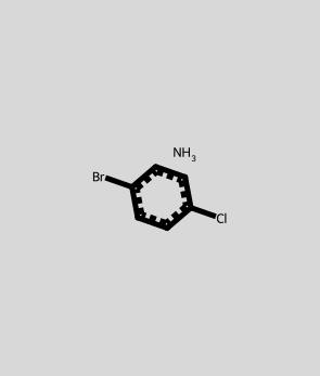 Clc1ccc(Br)cc1.N